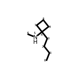 CCCCC1(NC)CCC1